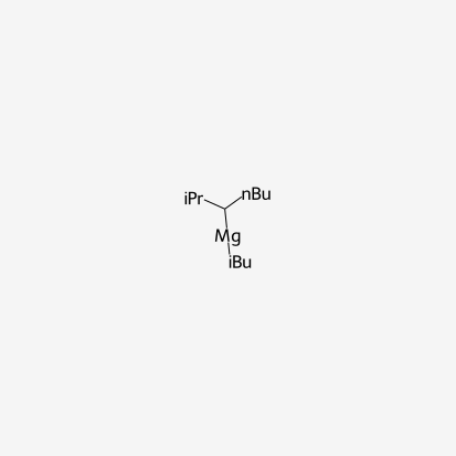 CCCC[CH]([Mg][CH](C)CC)C(C)C